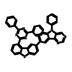 c1ccc(-c2nc(-c3ccccc3)nc(-c3cccc4sc5ccc(-c6ccc7c(c6)c6ncncc6n7-c6ccccc6)cc5c34)n2)cc1